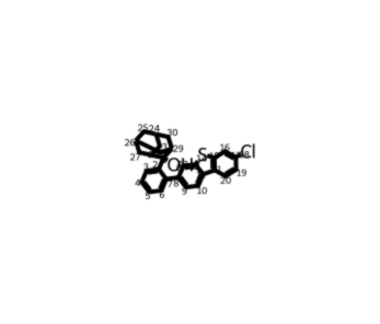 OC1(c2ccccc2-c2ccc3c(c2)sc2cc(Cl)ccc23)C2CC3CC(C2)CC1C3